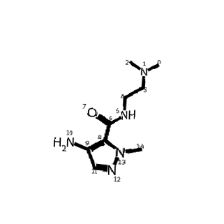 CN(C)CCNC(=O)c1c(N)cnn1C